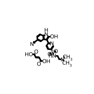 CN(C)CCNS(=O)(=O)c1ccc(-c2c(O)[nH]c3ccc(C#N)cc23)nc1.O=C(O)C=CC(=O)O